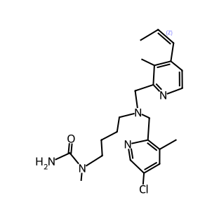 C/C=C\c1ccnc(CN(CCCCN(C)C(N)=O)Cc2ncc(Cl)cc2C)c1C